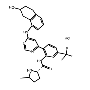 CC1CC[C@@H](C(=O)Nc2cc(C(F)(F)F)ccc2-c2cc(Nc3cccc4c3CC(O)CC4)ncn2)N1.Cl